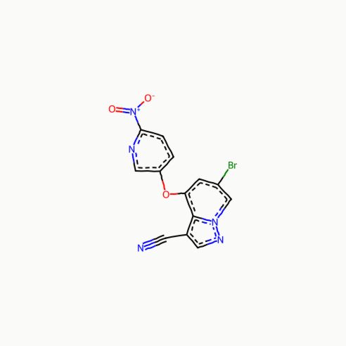 N#Cc1cnn2cc(Br)cc(Oc3ccc([N+](=O)[O-])nc3)c12